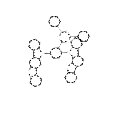 c1ccc(-c2nc(-c3ccccc3)nc(-c3cc(-n4c5ccccc5c5cc6oc7ccccc7c6cc54)ccc3-n3c4ccccc4c4ccc5c6ccccc6oc5c43)n2)cc1